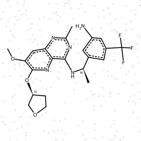 COc1cc2nc(C)nc(N[C@H](C)c3cc(N)cc(C(F)(F)F)c3)c2nc1O[C@H]1CCOC1